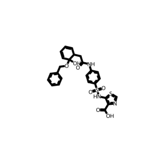 O=C(CC1C=CC=CC1(O)OCc1ccccc1)Nc1ccc(S(=O)(=O)Nc2scnc2C(=O)O)cc1